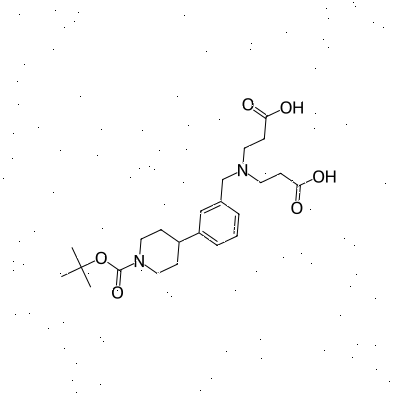 CC(C)(C)OC(=O)N1CCC(c2cccc(CN(CCC(=O)O)CCC(=O)O)c2)CC1